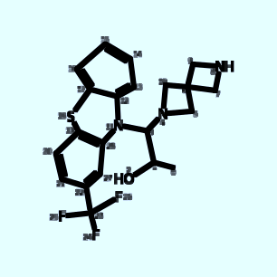 CC(O)C(N1CC2(CNC2)C1)N1c2ccccc2Sc2ccc(C(F)(F)F)cc21